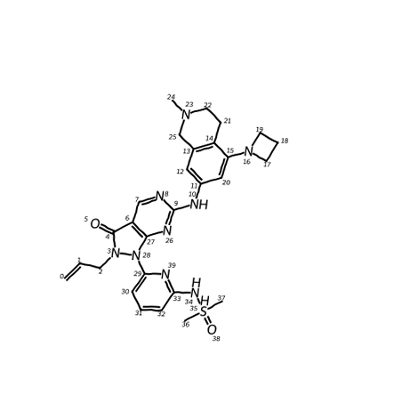 C=CCn1c(=O)c2cnc(Nc3cc4c(c(N5CCC5)c3)CCN(C)C4)nc2n1-c1cccc(N[SH](C)(C)=O)n1